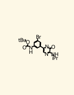 CC(C)NC1=NC=C(c2cc(Br)cc(NC(=O)OC(C)(C)C)c2)[N]C1=O